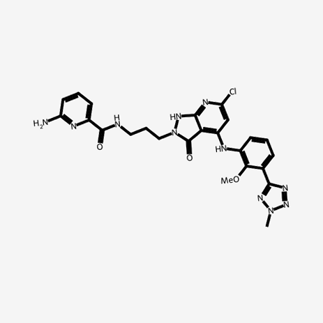 COc1c(Nc2cc(Cl)nc3[nH]n(CCCNC(=O)c4cccc(N)n4)c(=O)c23)cccc1-c1nnn(C)n1